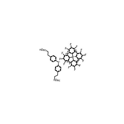 CCCCCCCCCCCCc1ccc([I+]c2ccc(CCCCCCCCCCCC)cc2)cc1.Fc1c(F)c(F)c([B-](c2c(F)c(F)c(F)c(F)c2F)(c2c(F)c(F)c(F)c(F)c2F)c2c(F)c(F)c(F)c(F)c2F)c(F)c1F